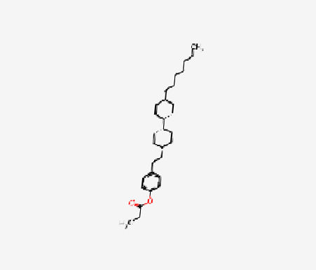 CCCCCCC[C@H]1CC[C@H]([C@H]2CC[C@H](CCc3ccc(OC(=O)CC)cc3)CC2)CC1